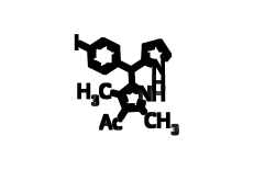 CC(=O)c1c(C)[nH]c(C(c2ccc(I)cc2)c2ccc[nH]2)c1C